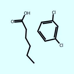 CCCCCC(=O)O.Clc1cccc(Cl)c1